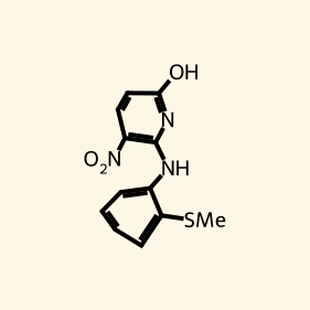 CSc1ccccc1Nc1nc(O)ccc1[N+](=O)[O-]